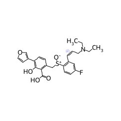 CCN(CC)C/C=C\c1cc(F)ccc1[S+]([O-])Cc1ccc(-c2ccoc2)c(O)c1C(=O)O